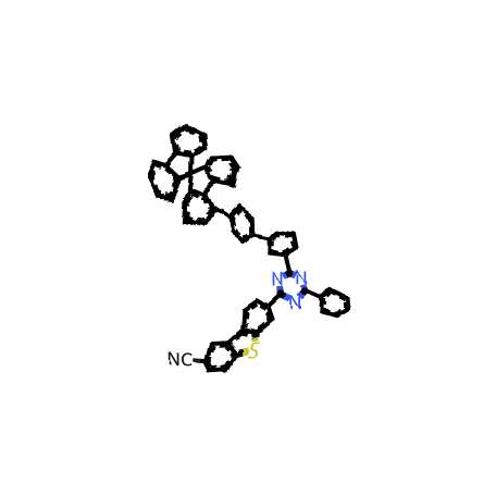 N#Cc1ccc2sc3cc(-c4nc(-c5ccccc5)nc(-c5cccc(-c6ccc(-c7cccc8c7-c7ccccc7C87c8ccccc8-c8ccccc87)cc6)c5)n4)ccc3c2c1